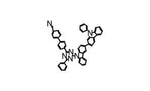 N#Cc1ccc(-c2ccc(-c3nc(-c4ccccc4)nc(-n4c5ccccc5c5cc(-c6ccc7c8ccccc8n(-c8ccccc8)c7c6)ccc54)n3)cc2)cc1